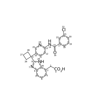 O=C(O)Cc1cccc2nc(C3(c4ccc(NC(=O)c5cccc(Cl)c5)nc4)CCC3)[nH]c12